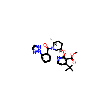 COC(=O)c1c(C(C)(C)C)ccnc1O[C@@H]1CC[C@@H](C)N(C(=O)c2ccccc2-n2nccn2)C1